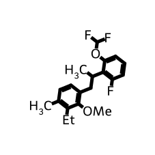 CCc1c(C)ccc(CC(C)c2c(F)cccc2OC(F)F)c1OC